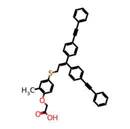 Cc1cc(SCC=C(c2ccc(C#Cc3ccccc3)cc2)c2ccc(C#Cc3ccccc3)cc2)ccc1OCC(=O)O